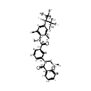 Cc1cc(C(F)(C(F)(F)F)C(F)(F)F)cc(C)c1N(C)C(=O)c1cccc(N(C[S+](C)[O-])C(=O)c2ccccc2)c1